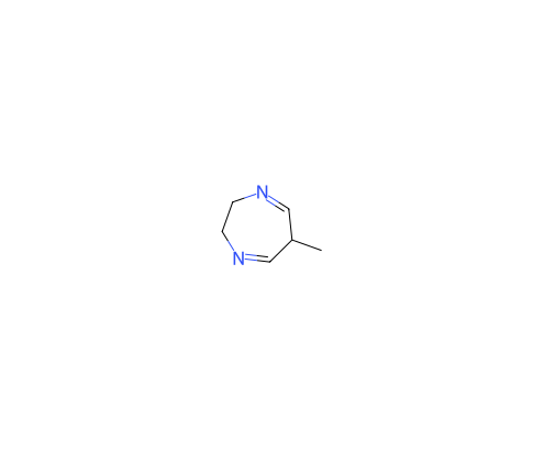 CC1C=NCCN=C1